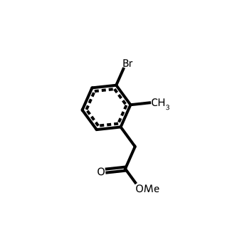 COC(=O)Cc1cccc(Br)c1C